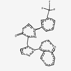 O=c1ccn(-c2cccc(C(F)(F)F)c2)nc1-c1ccnn1-c1ccnc2ccccc12